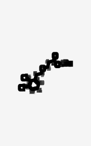 CC(C)(C)OC(=O)CCOCCc1cccc(Cl)c1Cl